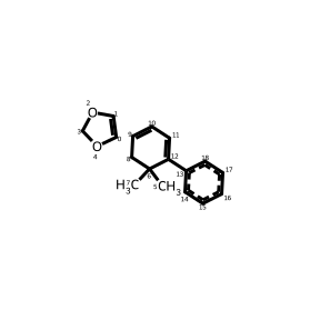 C1=COCO1.CC1(C)CC=CC=C1c1ccccc1